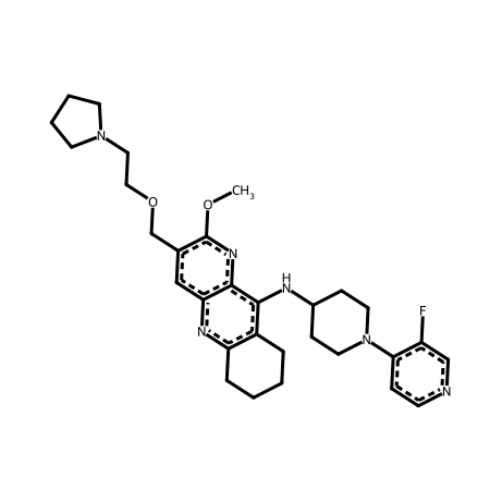 COc1nc2c(NC3CCN(c4ccncc4F)CC3)c3c(nc2cc1COCCN1CCCC1)CCCC3